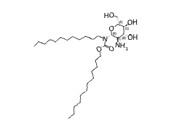 CCCCCCCCCCCCOC(=O)N(CCCCCCCCCCCC)[C@@H]1O[C@H](CO)[C@@H](O)[C@H](O)[C@H]1N